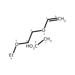 C=COCCOCC.CC(=O)O